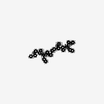 c1ccc(-c2cccc3c2oc2cccc(-c4ccc(-c5nc(-c6ccc7ccccc7c6)nc(-c6cccc7c6oc6cccc(-c8ccc9ccc(-c%10ccc(-c%11ccc(-c%12nc(-c%13ccc%14ccccc%14c%13)nc(-c%13cccc%14c%13oc%13ccccc%13%14)n%12)c%12ccccc%11%12)c%11c%10oc%10ccccc%10%11)cc9c8)c67)n5)c5ccccc45)c23)cc1